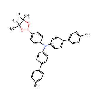 CC(C)(C)c1ccc(-c2ccc(N(c3ccc(B4OC(C)(C)C(C)(C)O4)cc3)c3ccc(-c4ccc(C(C)(C)C)cc4)cc3)cc2)cc1